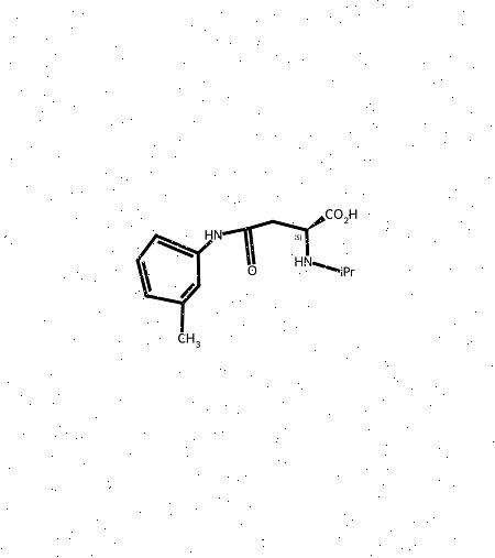 Cc1cccc(NC(=O)C[C@H](NC(C)C)C(=O)O)c1